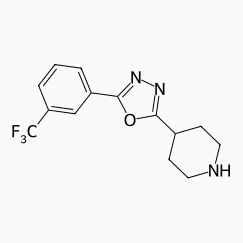 FC(F)(F)c1cccc(-c2nnc(C3CCNCC3)o2)c1